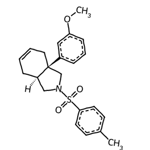 COc1cccc([C@]23CC=CC[C@@H]2CN(S(=O)(=O)c2ccc(C)cc2)C3)c1